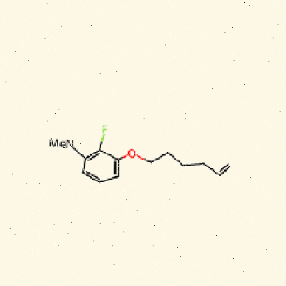 C=CCCCCOc1cccc(NC)c1F